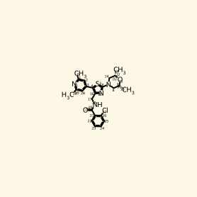 Cc1cc(-c2sc(N3C[C@@H](C)O[C@@H](C)C3)nc2CNC(=O)c2ccccc2Cl)cc(C)n1